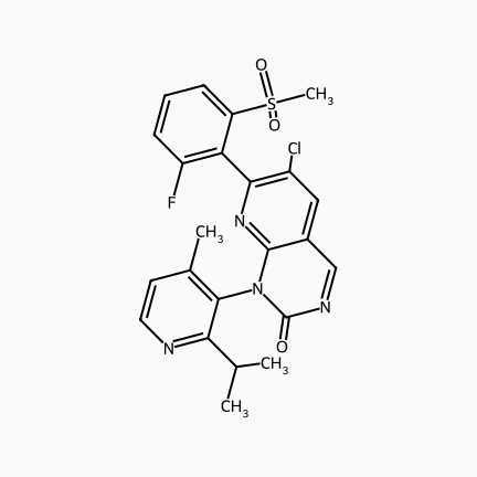 Cc1ccnc(C(C)C)c1-n1c(=O)ncc2cc(Cl)c(-c3c(F)cccc3S(C)(=O)=O)nc21